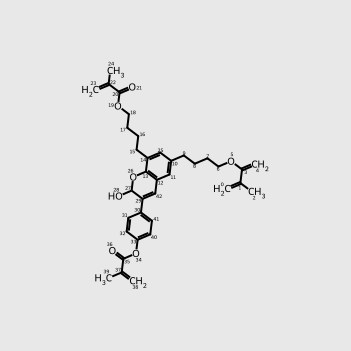 C=C(C)C(=C)OCCCCc1cc2c(c(CCCCOC(=O)C(=C)C)c1)OC(O)C(c1ccc(OC(=O)C(=C)C)cc1)=C2